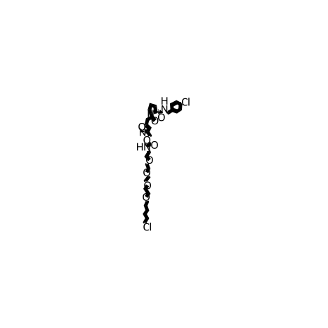 O=C(NCCOCCOCCOCCOCCCCCCCl)OCc1cc(CC(=O)N2CCC[C@H]2C(=O)NCC2=CCC(Cl)C=C2)on1